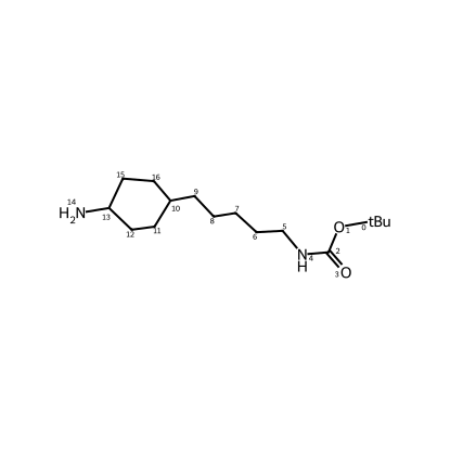 CC(C)(C)OC(=O)NCCCCCC1CCC(N)CC1